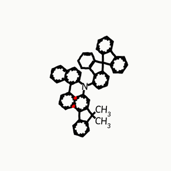 CC1(C)c2ccccc2-c2ccc(N(c3cccc4c3C3=C(C=CCC3)C43c4ccccc4-c4ccccc43)c3ccc4ccccc4c3-c3ccccc3)cc21